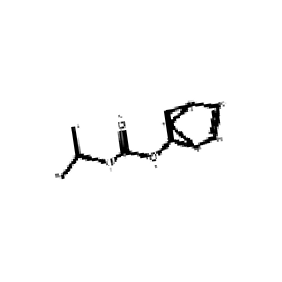 CC(C)OC(=O)OC1CC2C=CC1C2